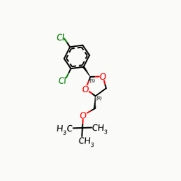 CC(C)(C)OC[C@@H]1CO[C@H](c2ccc(Cl)cc2Cl)O1